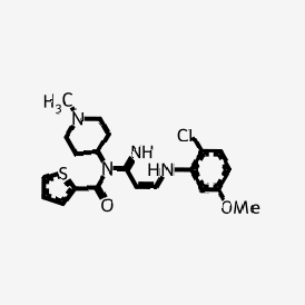 COc1ccc(Cl)c(N/C=C\C(=N)N(C(=O)c2cccs2)C2CCN(C)CC2)c1